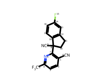 N#Cc1ccc(C(F)(F)F)nc1C1(C#N)CCc2cc(F)ccc21